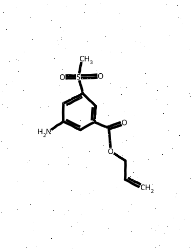 C=CCOC(=O)c1cc(N)cc(S(C)(=O)=O)c1